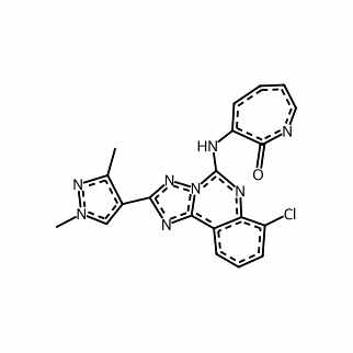 Cc1nn(C)cc1-c1nc2c3cccc(Cl)c3nc(Nc3ccccnc3=O)n2n1